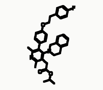 Cc1nc(C)c(-c2ccc(OCCc3ccc(F)cc3)cc2)c(N2CCc3ccccc3C2)c1CC(=O)OC(C)C